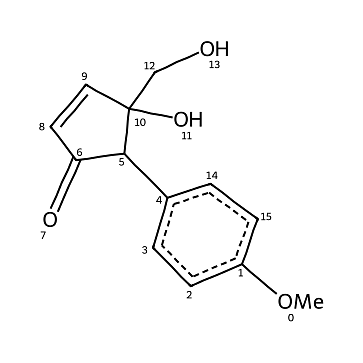 COc1ccc(C2C(=O)C=CC2(O)CO)cc1